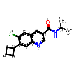 CCCC[C@H](NC(=O)c1cnc2cc(C3CCC3)c(Cl)cc2c1)C(C)=O